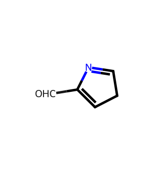 O=CC1=CCC=N1